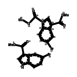 COC(=O)c1c[nH]c2ccc(Br)cc12.COC(=O)c1cn(C(=O)OC(C)(C)C)c2ccc(Br)cc12